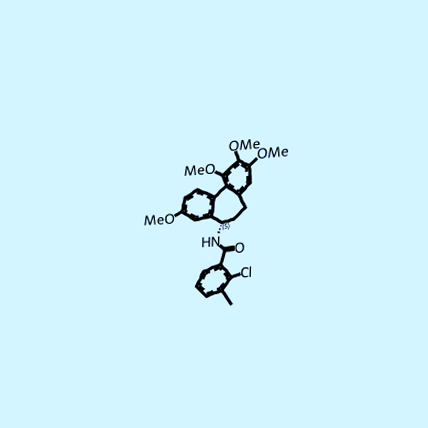 COc1ccc2c(c1)[C@@H](NC(=O)c1cccc(C)c1Cl)CCc1cc(OC)c(OC)c(OC)c1-2